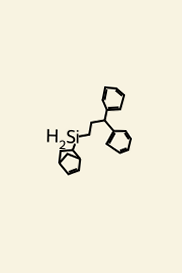 C1=CC2CC1CC2[SiH2]CCC(c1ccccc1)c1ccccc1